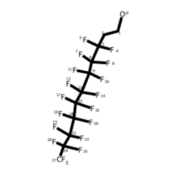 [O]CCC(F)(F)C(F)(F)C(F)(F)C(F)(F)C(F)(F)C(F)(F)C(F)(F)C(F)(F)C(F)(F)F